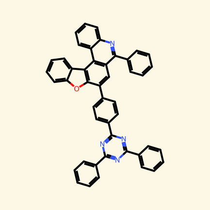 c1ccc(-c2nc(-c3ccccc3)nc(-c3ccc(-c4cc5c(-c6ccccc6)nc6ccccc6c5c5c4oc4ccccc45)cc3)n2)cc1